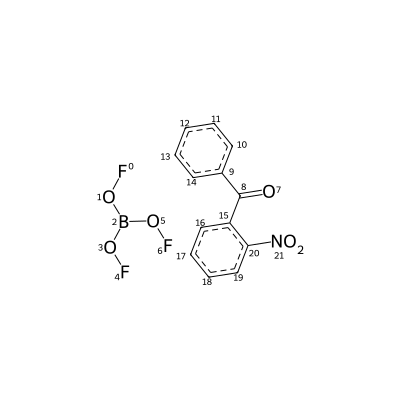 FOB(OF)OF.O=C(c1ccccc1)c1ccccc1[N+](=O)[O-]